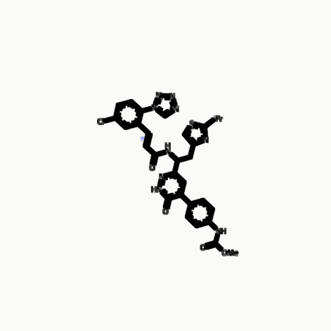 COC(=O)Nc1ccc(-c2cc(C(Cc3csc(C(C)C)n3)NC(=O)/C=C/c3cc(Cl)ccc3-n3cnnn3)n[nH]c2=O)cc1